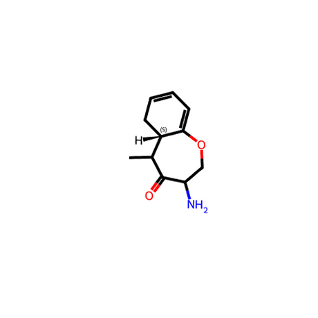 CC1C(=O)C(N)COC2=CC=CC[C@H]21